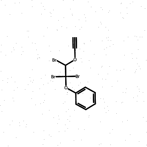 C#COC(Br)C(Br)(Br)Oc1ccccc1